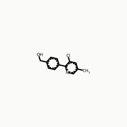 Cc1cnc(-c2ccc(CO)cc2)c(Cl)c1